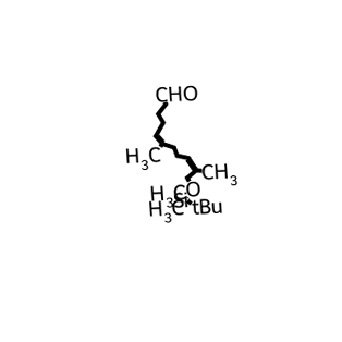 CC(=CCCCC=O)CCC=C(C)CO[Si](C)(C)C(C)(C)C